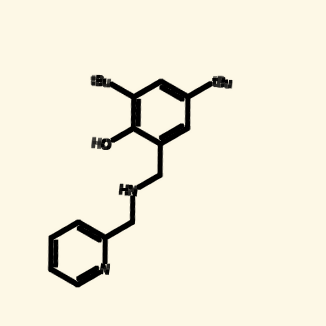 CC(C)(C)c1cc(CNCc2ccccn2)c(O)c(C(C)(C)C)c1